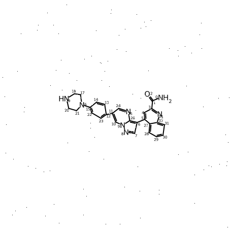 NC(=O)c1cc(-c2cnn3cc(-c4ccc(N5CCNCC5)cc4)cnc23)c2ccccc2n1